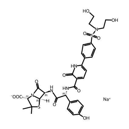 CC1(C)S[C@@H]2[C@H](NC(=O)[C@H](NC(=O)c3ccc(-c4ccc(S(=O)(=O)N(CCO)CCO)cc4)[nH]c3=O)c3ccc(O)cc3)C(=O)N2[C@H]1C(=O)[O-].[Na+]